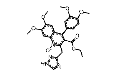 CCOC(=O)c1c(-c2ccc(OC)c(OC)c2)c2cc(OC)c(OC)cc2[n+]([O-])c1Cc1nc[nH]n1